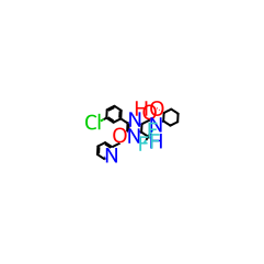 O=C(N[C@@H]1CCCC[C@H]1O)c1nc(-c2cccc(Cl)c2)c(OCc2ccccn2)nc1C(F)(F)F